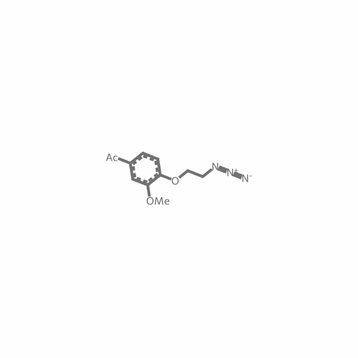 COc1cc(C(C)=O)ccc1OCCN=[N+]=[N-]